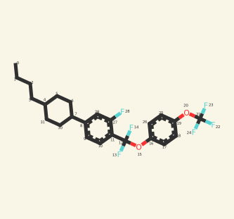 CCCCC1CCC(c2ccc(C(F)(F)Oc3ccc(OC(F)(F)F)cc3)c(F)c2)CC1